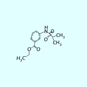 CCOC(=O)c1cccc(NS(=O)(=O)C(C)C)c1